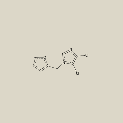 Clc1ncn(Cc2cc[c]o2)c1Cl